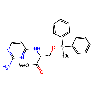 COC(=O)[C@@H](CO[Si](c1ccccc1)(c1ccccc1)C(C)(C)C)Nc1ccnc(N)n1